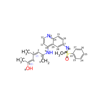 C=C(/C=C(C)\C=C(/C)O)Nc1ccnc2ccc(N=[S@](C)(=O)c3ccccc3)cc12